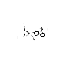 CCCCC1N=C2C(=CN(CCCO)CN2C)N1Cc1ccc(-c2ccccc2-c2nnn[nH]2)cc1